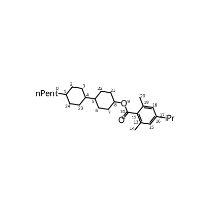 CCCCCC1CCC(C2CCC(OC(=O)c3c(C)cc(C(C)C)cc3C)CC2)CC1